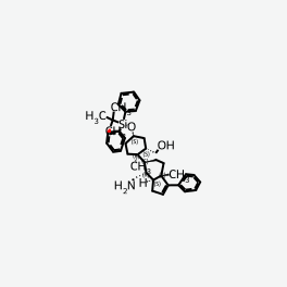 CC(C)(C)[Si](O[C@H]1CC[C@](C)([C@H]2CC[C@]3(C)C(c4ccccc4)=CC[C@H]3[C@@H]2CN)[C@@H](CO)C1)(c1ccccc1)c1ccccc1